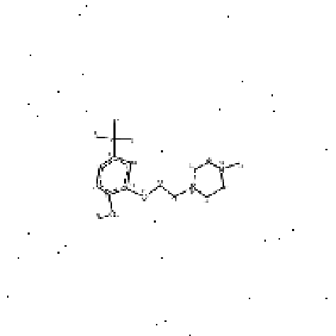 COc1ccc(C(C)(C)C)cc1OCCN1CCN(C)CC1